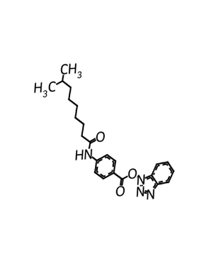 CC(C)CCCCCCC(=O)Nc1ccc(C(=O)On2nnc3ccccc32)cc1